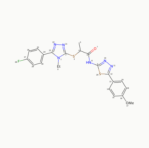 CCn1c(SC(C)C(=O)Nc2nnc(-c3ccc(OC)cc3)s2)nnc1-c1ccc(F)cc1